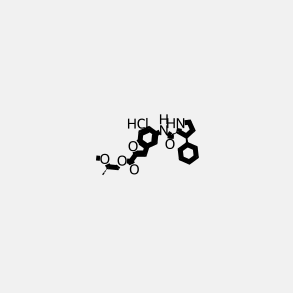 CO[C@@H](C)COC(=O)c1cc2cc(NC(=O)[C@@H]3NCC[C@H]3C3CCCCC3)ccc2o1.Cl